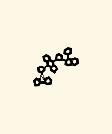 c1ccc(-c2c(-c3cccc(-c4c5ccccc5c(-c5cccc(-n6c7ccccc7c7ccccc76)c5)c5ccccc45)c3)ccc3ccccc23)cc1